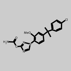 COc1cc(C(C)(C)c2ccc(Cl)cc2)ccc1-n1cnc(OC(N)=O)n1